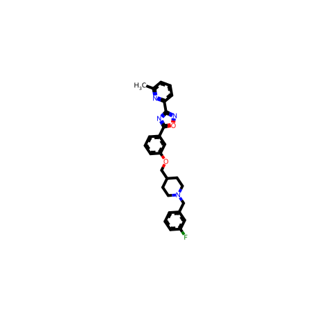 Cc1cccc(-c2noc(-c3cccc(OCC4CCN(Cc5cccc(F)c5)CC4)c3)n2)n1